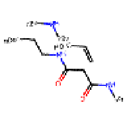 C=CC(=O)O.CCCCCCCCCCCCNC(=O)CC(=O)NCCC.CCCCNCCCC